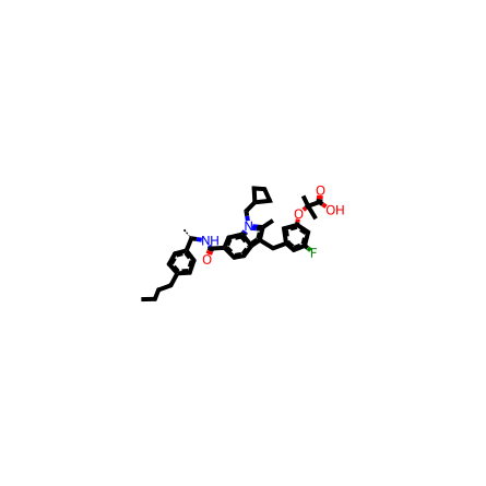 CCCCc1ccc([C@H](C)NC(=O)c2ccc3c(Cc4cc(F)cc(OC(C)(C)C(=O)O)c4)c(C)n(CC4CCC4)c3c2)cc1